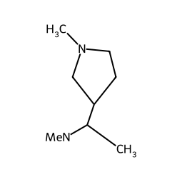 CNC(C)C1CCN(C)C1